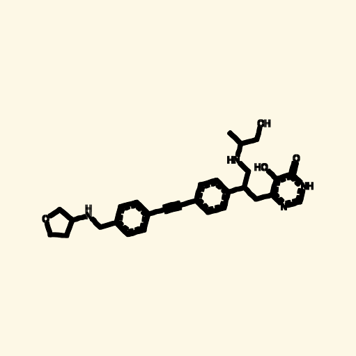 CC(CO)NCC(Cc1nc[nH]c(=O)c1O)c1ccc(C#Cc2ccc(CNC3CCOC3)cc2)cc1